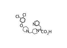 O=C(O)[C@H](Cc1cccnc1)N1CCC(CN2CCC(Oc3ccc(Cl)c(Cl)c3)CC2)CC1